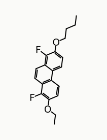 CCCCOc1ccc2c(ccc3c(F)c(OCC)ccc32)c1F